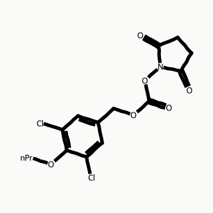 CCCOc1c(Cl)cc(COC(=O)ON2C(=O)CCC2=O)cc1Cl